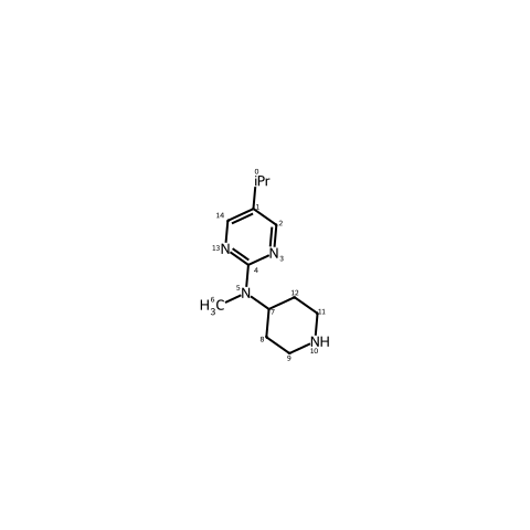 CC(C)c1cnc(N(C)C2CCNCC2)nc1